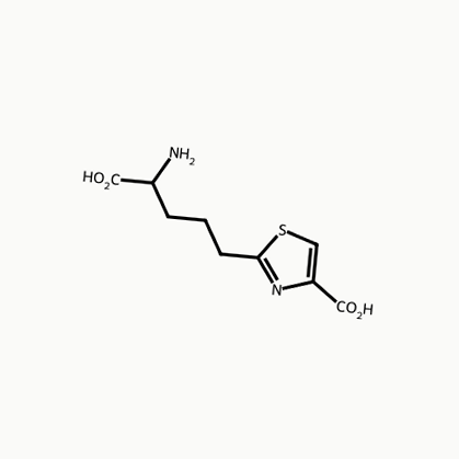 NC(CCCc1nc(C(=O)O)cs1)C(=O)O